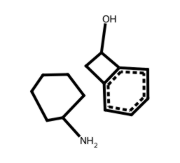 NC1CCCCC1.OC1Cc2ccccc21